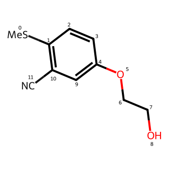 CSc1ccc(OCCO)cc1C#N